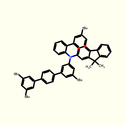 CC(C)(C)c1cccc(-c2ccccc2N(c2cc(-c3ccc(-c4cc(C(C)(C)C)cc(C(C)(C)C)c4)cc3)cc(C(C)(C)C)c2)c2ccc3c(c2)C(C)(C)c2ccccc2-3)c1